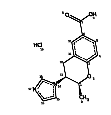 C[C@@H]1Oc2ccc(C(=O)O)cc2C[C@@H]1n1ccnc1.Cl